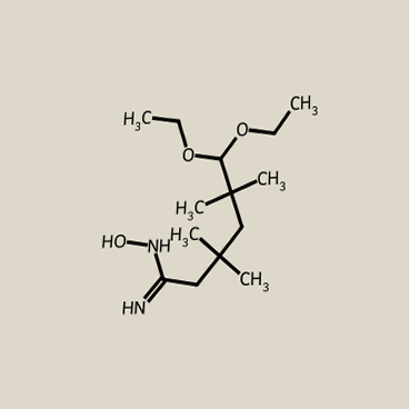 CCOC(OCC)C(C)(C)CC(C)(C)CC(=N)NO